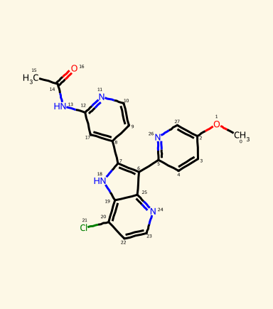 COc1ccc(-c2c(-c3ccnc(NC(C)=O)c3)[nH]c3c(Cl)ccnc23)nc1